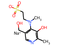 Cc1ncc(CO)c(N(C)CCS(=O)(=O)[O-])c1O.[Na+]